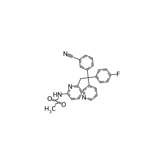 CS(=O)(=O)Nc1cccc(CC(c2ccc(F)cc2)(c2cccnc2)c2cccc(C#N)c2)n1